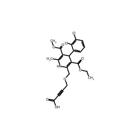 CCOC(=O)C1=C(COCC#CC(=O)O)NC(C)=C(C(=O)OC)C1c1cccc(Cl)c1Cl